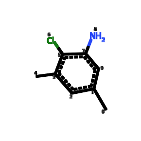 Cc1cc(C)c(Cl)c(N)c1